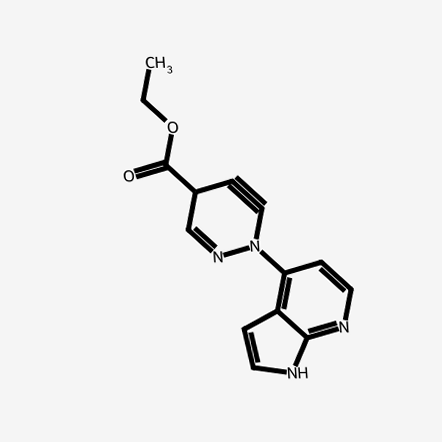 CCOC(=O)C1C#CN(c2ccnc3[nH]ccc23)N=C1